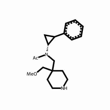 COCC1(CN(C(C)=O)[C@@H]2CC2c2ccccc2)CCNCC1